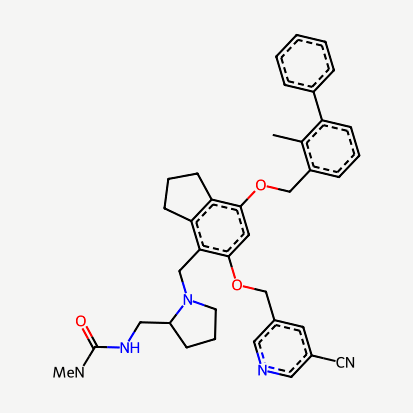 CNC(=O)NCC1CCCN1Cc1c(OCc2cncc(C#N)c2)cc(OCc2cccc(-c3ccccc3)c2C)c2c1CCC2